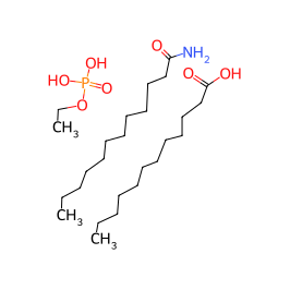 CCCCCCCCCCCC(=O)O.CCCCCCCCCCCC(N)=O.CCOP(=O)(O)O